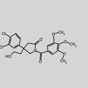 COc1cc(C(=O)N2CC(CCO)(c3ccc(Cl)c(Cl)c3)CC2=O)cc(OC)c1OC